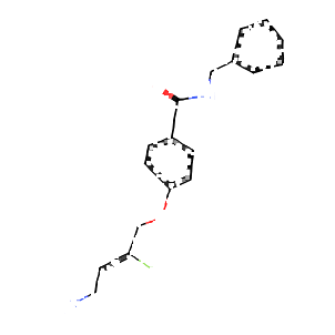 Cl.NCC=C(F)COc1ccc(C(=O)NCc2ccccc2)cc1